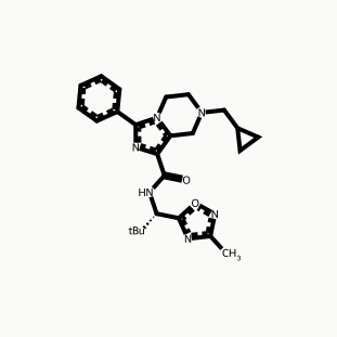 Cc1noc([C@@H](NC(=O)c2nc(-c3ccccc3)n3c2CN(CC2CC2)CC3)C(C)(C)C)n1